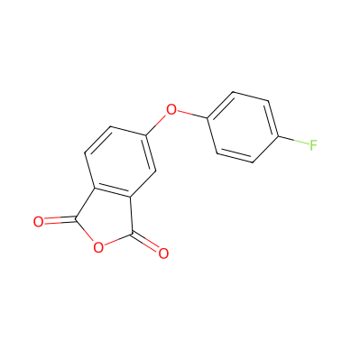 O=C1OC(=O)c2cc(Oc3ccc(F)cc3)ccc21